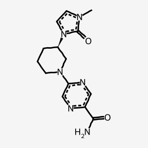 Cn1ccn([C@@H]2CCCN(c3cnc(C(N)=O)cn3)C2)c1=O